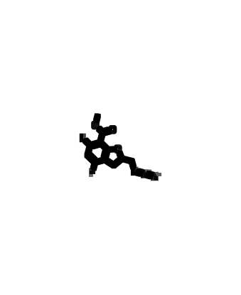 COC(=O)c1c(F)cc(F)c2c1OC(CN=[N+]=[N-])C2